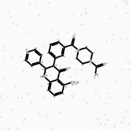 CC(C)C(=O)N1CCN(C(=O)c2cccc(C3C(=O)c4c(cccc4C(=O)O)NC3c3ccncc3)c2)CC1